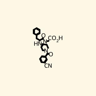 N#Cc1cccc(C(=O)N2CCC3(CC2)NC(Cc2ccccc2)C(=O)N3CC(=O)O)c1